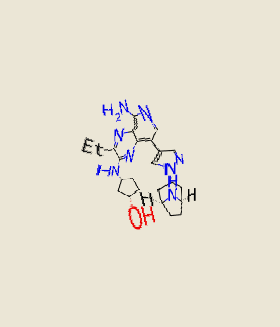 CCc1nc2c(N)ncc(-c3cnn([C@@H]4C[C@H]5CC[C@@H](C4)N5)c3)c2nc1N[C@@H]1CC[C@H](O)C1